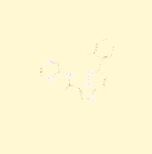 Cc1nc2ccc(C3=CCCC=C3OC(F)(F)F)nn2c1C(=O)Nc1cnccn1